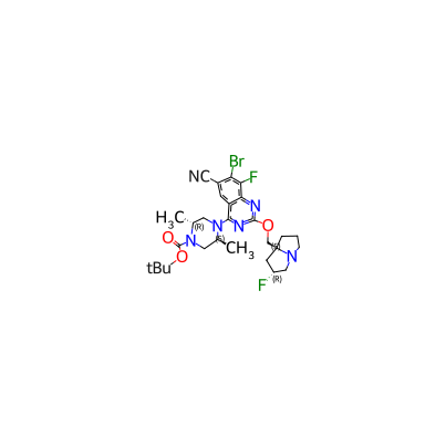 C[C@@H]1CN(c2nc(OC[C@@]34CCCN3C[C@H](F)C4)nc3c(F)c(Br)c(C#N)cc23)[C@@H](C)CN1C(=O)OC(C)(C)C